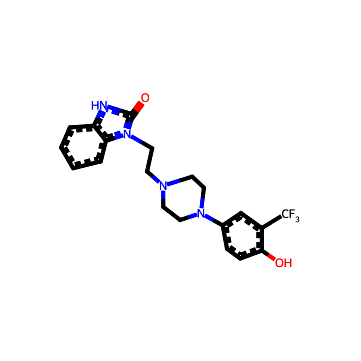 O=c1[nH]c2ccccc2n1CCN1CCN(c2ccc(O)c(C(F)(F)F)c2)CC1